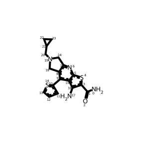 NC(=O)c1sc2nc3c(c(-c4cccs4)c2c1N)CN(CC1CC1)C3